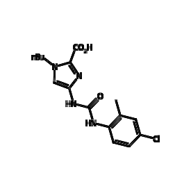 CCCCn1cc(NC(=O)Nc2ccc(Cl)cc2C)nc1C(=O)O